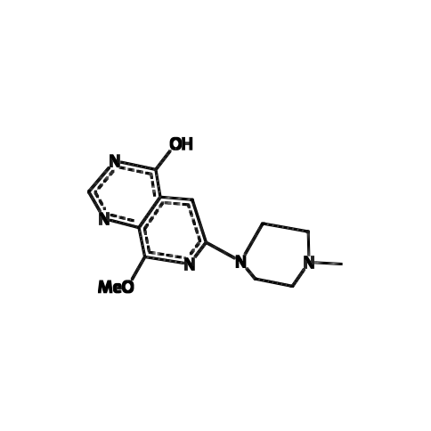 COc1nc(N2CCN(C)CC2)cc2c(O)ncnc12